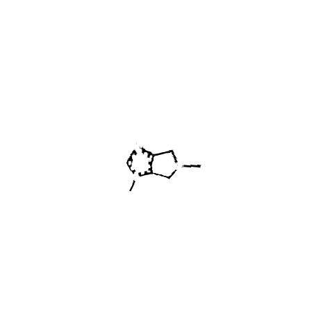 CN1Cc2ncn(C)c2C1